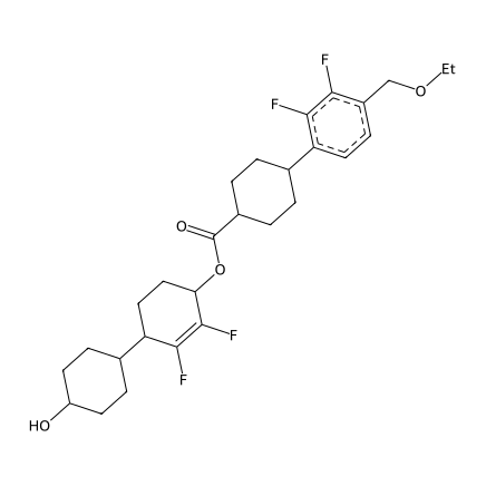 CCOCc1ccc(C2CCC(C(=O)OC3CCC(C4CCC(O)CC4)C(F)=C3F)CC2)c(F)c1F